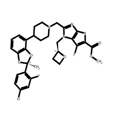 COC(=O)c1sc2nc(CN3CCC(c4cccc5c4O[C@@](C)(c4ccc(Cl)cc4F)O5)CC3)n(C[C@@H]3CCO3)c2c1F